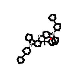 CC1(c2ccccc2)c2ccc3c(c2Oc2ccc4c(c21)c1ccccc1n4-c1cccc(-c2ccccc2)c1)c1ccccc1n3-c1ccc(-c2ccccc2)cc1